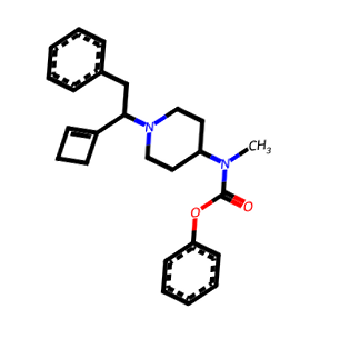 CN(C(=O)Oc1ccccc1)C1CCN(C(Cc2ccccc2)C2=CCC2)CC1